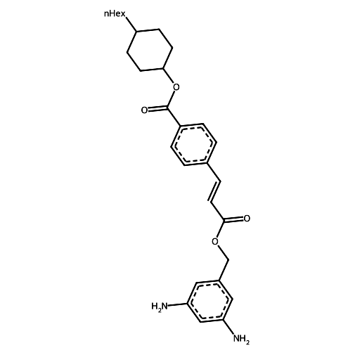 CCCCCCC1CCC(OC(=O)c2ccc(/C=C/C(=O)OCc3cc(N)cc(N)c3)cc2)CC1